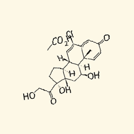 CC(=O)O.C[C@]12C=CC(=O)C=C1C(Cl)=C[C@@H]1[C@@H]2[C@@H](O)C[C@@]2(C)[C@H]1CC[C@]2(O)C(=O)CO